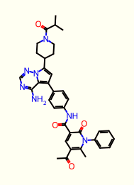 CC(=O)c1cc(C(=O)Nc2ccc(-c3cc(C4CCN(C(=O)C(C)C)CC4)n4ncnc(N)c34)cc2)c(=O)n(-c2ccccc2)c1C